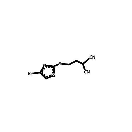 N#CC(C#N)CCSc1nc(Br)cs1